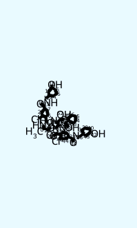 C[C@H](NC(=O)c1ccc(C(=O)NCc2cccc(O)c2)cc1Cl)C(=O)ON(C(=O)c1ccc(C(=O)NCc2cccc(O)c2)cc1Cl)C(NS(=O)(=O)c1ccccc1)[C@H](N)C(=O)O